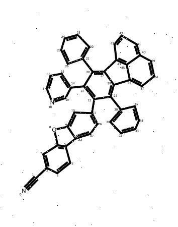 N#Cc1ccc2c(c1)oc1cc(-c3c(-c4cccnc4)c(-c4ccccc4)c4c(c3-c3ccccc3)-c3cccc5cccc-4c35)ccc12